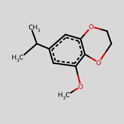 COc1cc(C(C)C)cc2c1OCCO2